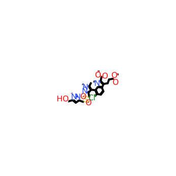 COC(=O)CCc1c(C(=O)OC)n(C)c2c(-c3c(CS(=O)(=O)Cc4cc(CO)n(C)n4)nn(C)c3C)c(Cl)ccc12